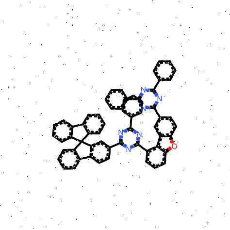 c1ccc(-c2nc(-c3ccccc3)nc(-c3ccc4oc5cccc(-c6nc(-c7ccccc7)nc(-c7ccc8c(c7)C7(c9ccccc9-c9ccccc97)c7ccccc7-8)n6)c5c4c3)n2)cc1